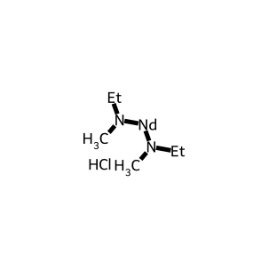 CC[N](C)[Nd][N](C)CC.Cl